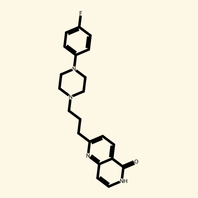 O=c1[nH]ccc2nc(CCCN3CCN(c4ccc(F)cc4)CC3)ccc12